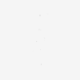 O=C(Nc1ccc(NCc2cc(F)cc(Cl)c2)cc1Cl)c1cc(Cl)ccc1O